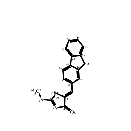 CSC1=NC(=O)C(=Cc2ccc3c(c2)Cc2ccccc2-3)N1